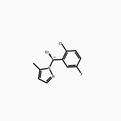 CC[C@@H](c1cc(F)ccc1Cl)n1nccc1C